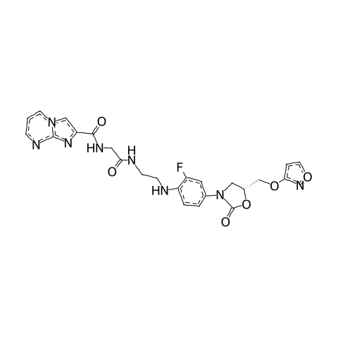 O=C(CNC(=O)c1cn2cccnc2n1)NCCNc1ccc(N2C[C@H](COc3ccon3)OC2=O)cc1F